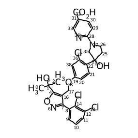 CC(C)(O)c1onc(-c2cccc(Cl)c2Cl)c1COc1ccc(C2(O)CCN(c3ccc(C(=O)O)cn3)C2)c(Cl)c1